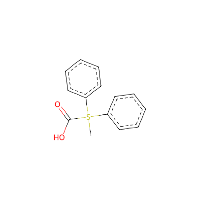 CS(C(=O)O)(c1ccccc1)c1ccccc1